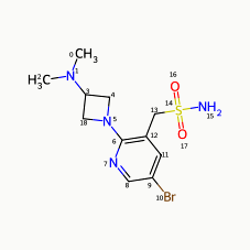 CN(C)C1CN(c2ncc(Br)cc2CS(N)(=O)=O)C1